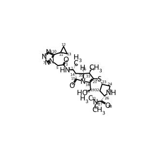 C[C@@H](NC(=O)Cn1nnnc1C1CC1)[C@H]1C(=O)N2C(CO)=C(S[C@@H]3CN[C@H](C(=O)N(C)C)C3)[C@H](C)[C@H]12